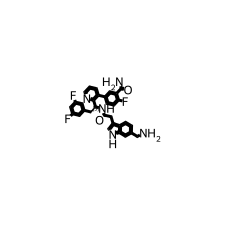 NCc1ccc2c(CC(=O)N[C@@H](Cc3cc(F)cc(F)c3)c3ncccc3-c3ccc(F)c(C(N)=O)c3)c[nH]c2c1